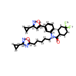 O=C(C1CCC(F)(F)CC1)N(CCCCCc1nc(C2CC2)no1)c1cccc(-c2cc(C3CC3)no2)c1